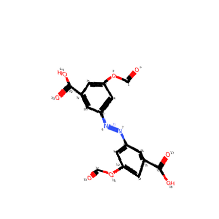 O=COc1cc(/N=N/c2cc(OC=O)cc(C(=O)O)c2)cc(C(=O)O)c1